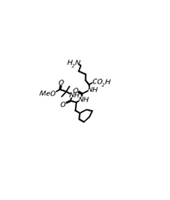 COC(=O)C(C)(C)NC(=O)C(CC1CCCCC1)NC(=O)NC(CCCCN)C(=O)O